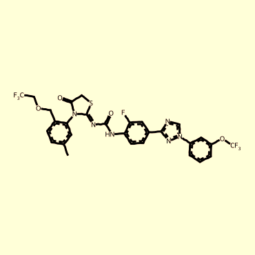 Cc1ccc(COCC(F)(F)F)c(N2C(=O)CSC2=NC(=O)Nc2ccc(-c3ncn(-c4cccc(OC(F)(F)F)c4)n3)cc2F)c1